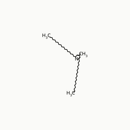 CCCCCCCCCCCCCCCCCCc1cc(C)cc(CCCCCCCCCCCCCCCCCC)n1